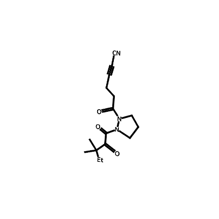 CCC(C)(C)C(=O)C(=O)N1CCCN1C(=O)CCC#CC#N